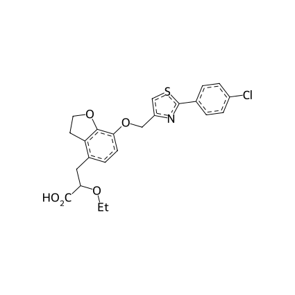 CCOC(Cc1ccc(OCc2csc(-c3ccc(Cl)cc3)n2)c2c1CCO2)C(=O)O